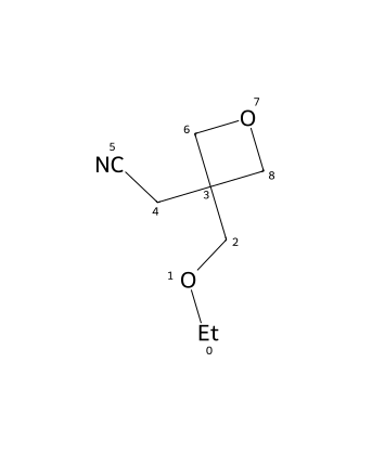 CCOCC1(CC#N)COC1